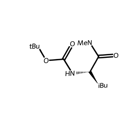 CC[C@H](C)[C@H](NC(=O)OC(C)(C)C)C(=O)NC